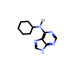 CCN(c1ncnc2[nH]cnc12)C1CCCCC1